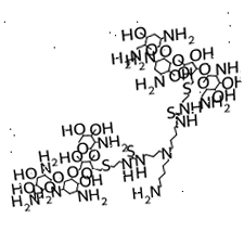 NCCCCCN(CCCCNC(=S)NCCSC[C@H]1OC(O[C@@H]2C(O)[C@H](N)CC(N)[C@@H]2O[C@@H]2OC(CN)[C@@H](O)CC2N)[C@@H](O)[C@H]1O[C@H]1OC(CN)[C@@H](O)C(O)[C@H]1N)CCCNC(=S)NCCSC[C@H]1OC(O[C@@H]2C(O)[C@H](N)CC(N)[C@@H]2O[C@@H]2OC(CN)[C@@H](O)[C@H](O)C2N)[C@@H](O)[C@H]1O[C@H]1OC[C@@H](O)C(O)[C@H]1N